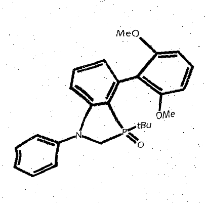 COc1cccc(OC)c1-c1cccc2c1P(=O)(C(C)(C)C)CN2c1ccccc1